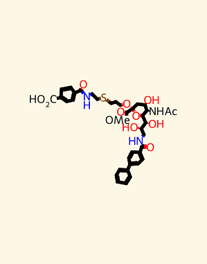 COC(=O)[C@@]1(OCCCSCCNC(=O)c2ccc(C(=O)O)cc2)C[C@@H](O)[C@@H](NC(C)=O)C([C@H](O)[C@H](O)CNC(=O)c2ccc(-c3ccccc3)cc2)O1